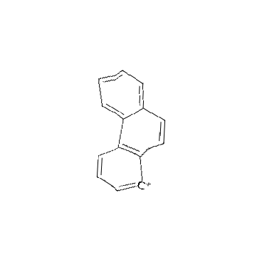 [C+]1=CC=Cc2c1ccc1ccccc21